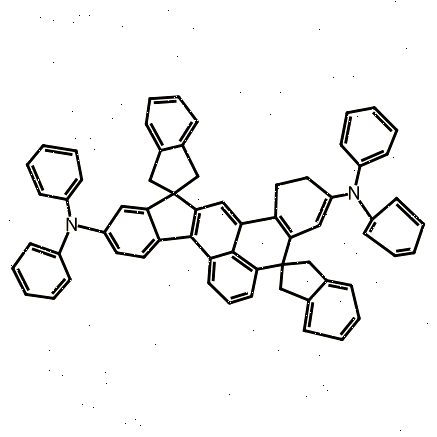 C1=C(N(c2ccccc2)c2ccccc2)CCC2=C1C1(Cc3ccccc3C1)c1cccc3c4c(cc2c13)C1(Cc2ccccc2C1)c1cc(N(c2ccccc2)c2ccccc2)ccc1-4